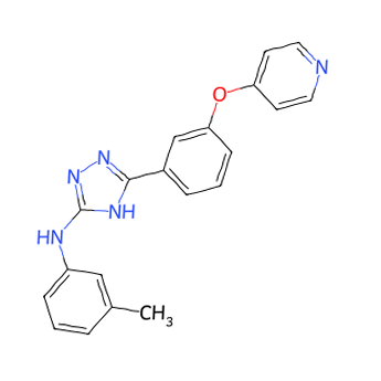 Cc1cccc(Nc2nnc(-c3cccc(Oc4ccncc4)c3)[nH]2)c1